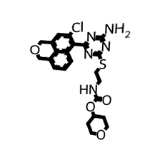 Nc1nc(SCCNC(=O)OC2CCOCC2)nc(-c2c(Cl)cc3c4c(cccc24)COC3)n1